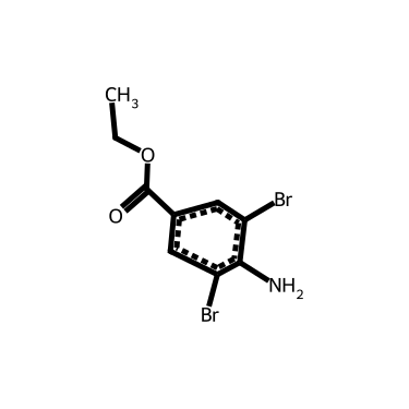 CCOC(=O)c1cc(Br)c(N)c(Br)c1